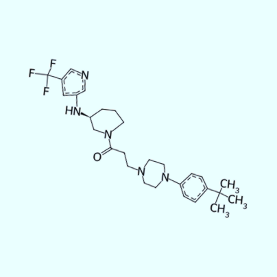 CC(C)(C)c1ccc(N2CCN(CCC(=O)N3CCC[C@H](Nc4cncc(C(F)(F)F)c4)C3)CC2)cc1